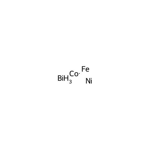 [BiH3].[Co].[Fe].[Ni]